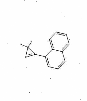 FC1(F)C=C1c1cccc2ccccc12